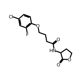 O=C(CCCOc1ccc(Cl)cc1F)NC1CCOC1=O